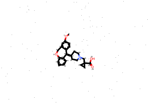 COc1ccc2c(c1)COc1ccccc1C2=C1CCN(CC2(C(=O)O)CC2)CC1